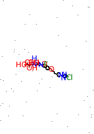 O=C(Cc1ccc(OCCCC2CCN(c3ncc(Cl)cn3)CC2)cc1F)N1CC(O)(CNCC(O)C(O)C(O)CO)C1